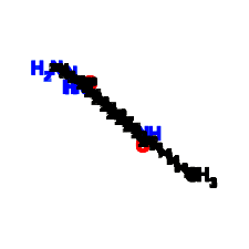 CCCCCCCCCCCC(=O)NCCCCCCCCCCCCCC(=O)NCCNCCN